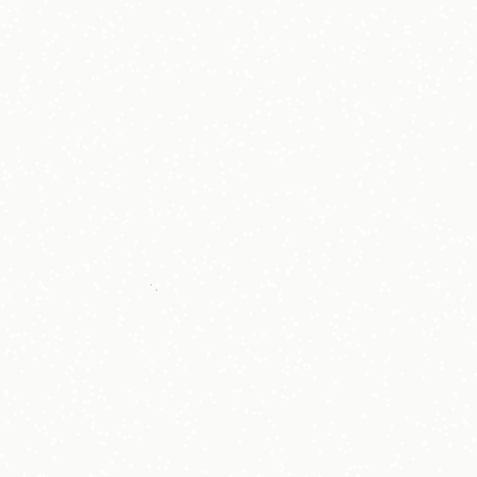 COc1cc(O)c(C#N)c2cc(-c3ccc(O)cc3)oc12